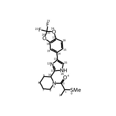 CSC(C)C(=O)N1CCCCC1c1nc(-c2ccc3c(c2)OC(F)(F)O3)c[nH]1